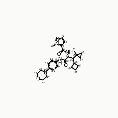 Cn1nccc1C(=O)N[C@H](C(=O)Nc1ccc(N2CCOCC2)nc1)C(C1CCC1)C1(C)CC1